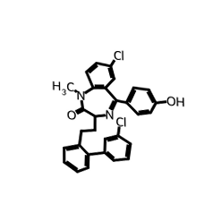 CN1C(=O)C(CCc2ccccc2-c2cccc(Cl)c2)N=C(c2ccc(O)cc2)c2cc(Cl)ccc21